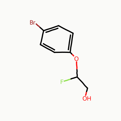 OCC(F)Oc1ccc(Br)cc1